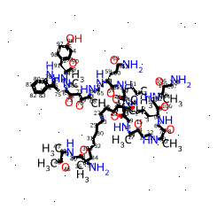 CCCC[C@H](NCC(=O)[C@H](C)NCCC(=O)[C@H](C)NCC(=O)[C@](C)(CCC/C=C/CCCCCC[C@@](C)(N)C(=O)CN[C@@H](C)C(C)=O)NC(=O)[C@H](CC(C)C)NC(=O)[C@H](CCC(N)=O)NCN[C@@H](C)C(=O)CC(=O)[C@H](Cc1c[nH]c2ccccc12)N(C)N[C@H](C=O)CC1=CC=C(O)CC1)C(=O)CN[C@@H](C)C(=O)CN